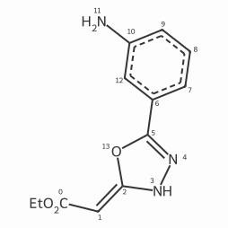 CCOC(=O)C=C1NN=C(c2cccc(N)c2)O1